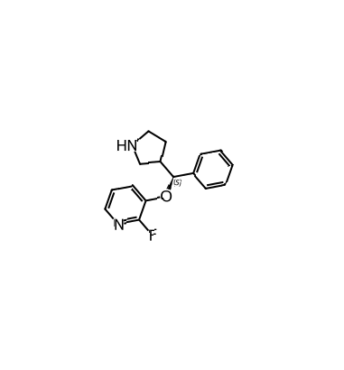 Fc1ncccc1O[C@H](c1ccccc1)C1CCNC1